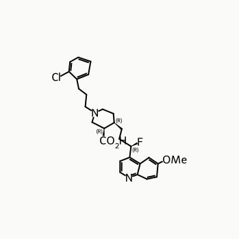 COc1ccc2nccc([C@H](F)CC[C@@H]3CCN(CCCc4ccccc4Cl)C[C@@H]3C(=O)O)c2c1